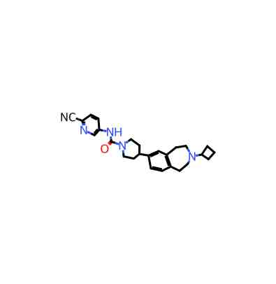 N#Cc1ccc(NC(=O)N2CCC(c3ccc4c(c3)CCN(C3CCC3)CC4)CC2)cn1